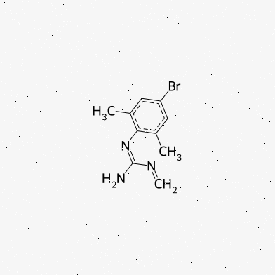 C=N/C(N)=N\c1c(C)cc(Br)cc1C